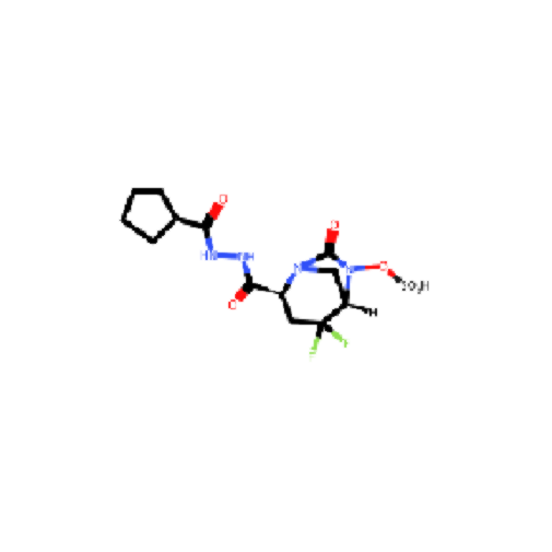 O=C(NNC(=O)[C@@H]1CC(F)(F)[C@@H]2CN1C(=O)N2OS(=O)(=O)O)C1CCCC1